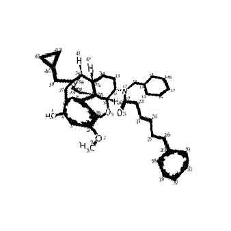 COc1cc(O)c2c3c1O[C@H]1[C@@H](N(CC4CCCCC4)C(=O)CCCCCc4ccccc4)CC[C@H]4[C@@H](C2)N(CC2CC2)CC[C@@]341